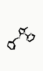 Cc1ccc(SCc2ccccc2)n1-c1ncccn1